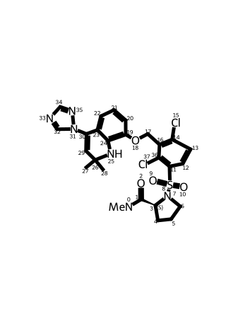 CNC(=O)[C@@H]1CCCN1S(=O)(=O)c1ccc(Cl)c(COc2cccc3c2NC(C)(C)C=C3n2cncn2)c1Cl